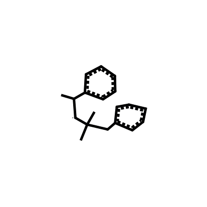 CC([CH]C(C)(C)Cc1ccccc1)c1ccccc1